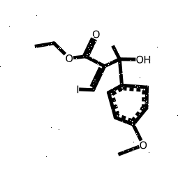 CCOC(=O)C(=CI)C(C)(O)c1ccc(OC)cc1